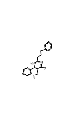 CCCc1c(-c2ccncc2)[nH]c(CCCc2ccccc2)nc1=O